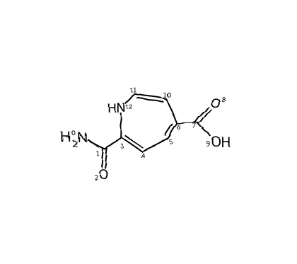 NC(=O)C1=CC=C(C(=O)O)C=CN1